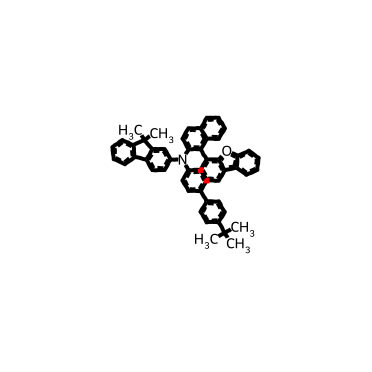 CC(C)(C)c1ccc(-c2ccc(N(c3ccc4c(c3)C(C)(C)c3ccccc3-4)c3ccc4ccccc4c3-c3cccc4c3oc3ccccc34)cc2)cc1